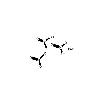 O=[N+]([O-])O.O=[N+]([O-])[O-].O=[N+]([O-])[O-].[Ba+2]